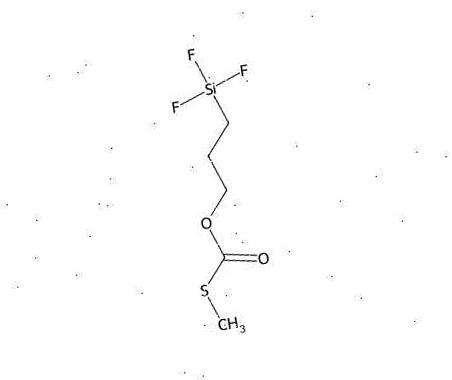 CSC(=O)OCCC[Si](F)(F)F